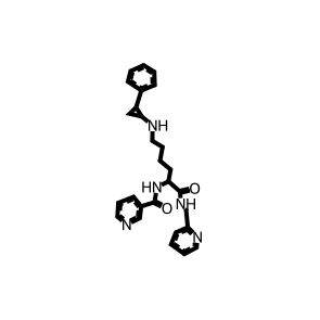 O=C(NC(CCCCNC1CC1c1ccccc1)C(=O)NCc1ccccn1)c1cccnc1